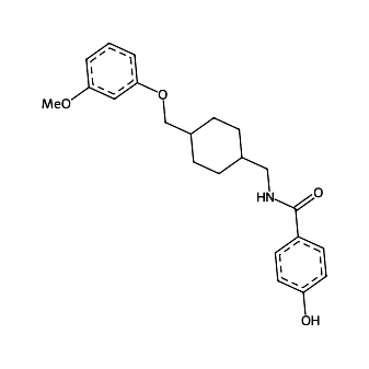 COc1cccc(OCC2CCC(CNC(=O)c3ccc(O)cc3)CC2)c1